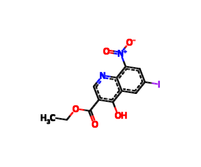 CCOC(=O)c1cnc2c([N+](=O)[O-])cc(I)cc2c1O